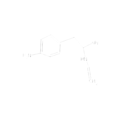 C=CNC(CCC)Cc1ccc(N)cc1